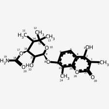 Cc1c(O)c2ccc(O[C@@H]3OC(C)(C)C(C)[C@H](OC(N)=O)C3O)c(C)c2oc1=O